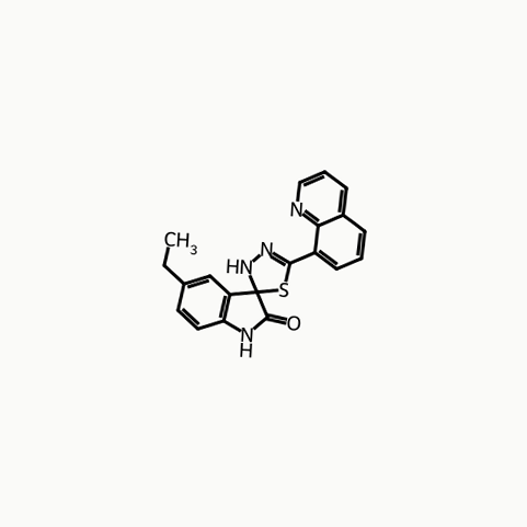 CCc1ccc2c(c1)C1(NN=C(c3cccc4cccnc34)S1)C(=O)N2